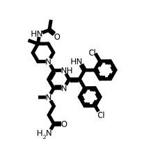 CC(=O)NC1(C)CCN(C2=CC(N(C)CCC(N)=O)=N/C(=C(/C(=N)c3ccccc3Cl)c3ccc(Cl)cc3)N2)CC1